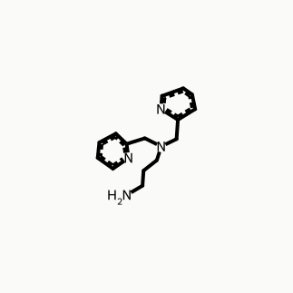 NCCCN(Cc1ccccn1)Cc1ccccn1